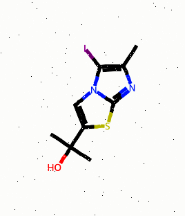 Cc1nc2sc(C(C)(C)O)cn2c1I